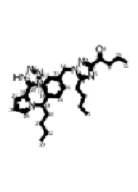 CCCCc1nc(C(=O)CCC)nn1Cc1ccc(C(CCCC)n2cccc2-c2nnn[nH]2)cc1